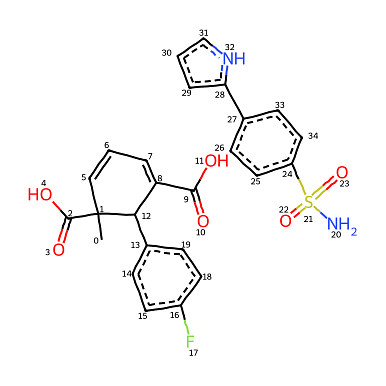 CC1(C(=O)O)C=CC=C(C(=O)O)C1c1ccc(F)cc1.NS(=O)(=O)c1ccc(-c2ccc[nH]2)cc1